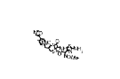 CO/N=C(/C(=O)N[C@@H]1C(=O)N2C(C(=O)[O-])=C(C[n+]3ccc(-c4cnco4)cc3)CS[C@H]12)c1csc(N)n1